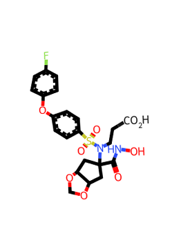 O=C(O)CCN(C1(C(=O)NO)CC2OCOC2C1)S(=O)(=O)c1ccc(Oc2ccc(F)cc2)cc1